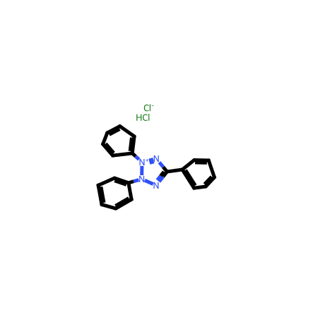 Cl.[Cl-].c1ccc(-c2nn(-c3ccccc3)[n+](-c3ccccc3)n2)cc1